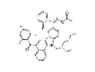 CCCCC(CC)Cn1c2ccc(/C(=N\OC(C)=O)c3ccccc3F)cc2c2cc(C(=O)c3c(C)cc(C)cc3C)c3ccccc3c21